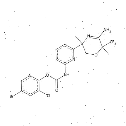 CC1(c2cccc(NC(=O)Oc3ncc(Br)cc3Cl)n2)COC(C)(C(F)(F)F)C(N)=N1